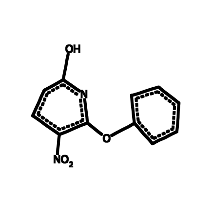 O=[N+]([O-])c1ccc(O)nc1Oc1ccccc1